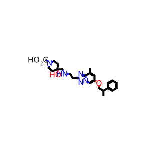 Cc1cc(OCC(C)c2ccccc2)cn2nc(CCNCC3(O)CCN(C(=O)O)CC3)nc12